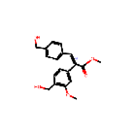 COC(=O)/C(=C/c1ccc(CO)cc1)c1ccc(CO)c(OC)c1